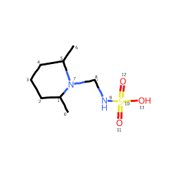 CC1CCCC(C)N1[CH]NS(=O)(=O)O